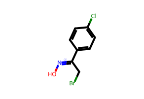 O/N=C(\CBr)c1ccc(Cl)cc1